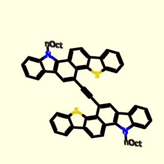 CCCCCCCCn1c2ccccc2c2cc(C#Cc3cc4c5ccccc5n(CCCCCCCC)c4c4ccc5c6ccccc6sc5c34)c3c(ccc4c5ccccc5sc43)c21